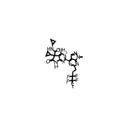 Cn1ncc2c(-c3nc(N)c4c(n3)NC(=O)C4(C(=O)NC3CC3)C3CC3)nc(CCC(F)(F)C(F)(F)F)nc21